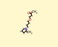 CC(=O)CCOCCCCN1CCC[C@H]1C